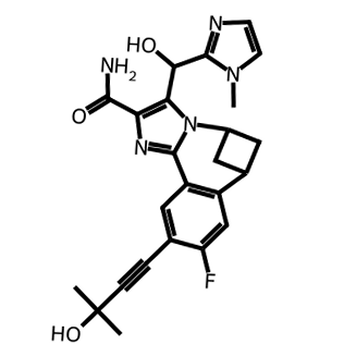 Cn1ccnc1C(O)c1c(C(N)=O)nc2n1C1CC(C1)c1cc(F)c(C#CC(C)(C)O)cc1-2